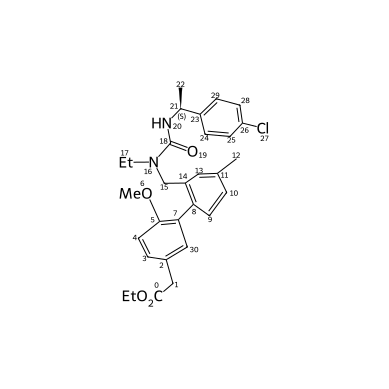 CCOC(=O)Cc1ccc(OC)c(-c2ccc(C)cc2CN(CC)C(=O)N[C@@H](C)c2ccc(Cl)cc2)c1